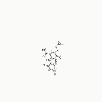 O=C(O)c1cn(CCC2CC2)c(=O)c(F)c1Nc1ccc(Br)cc1F